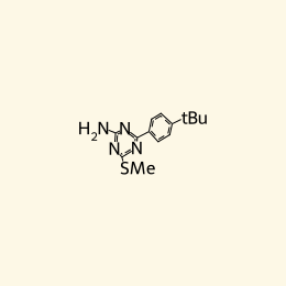 CSc1nc(N)nc(-c2ccc(C(C)(C)C)cc2)n1